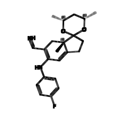 C[C@@H]1C[C@H](C)OC2(CCC3=CC(Nc4ccc(F)cc4)=C(C=N)C[C@@]32C)O1